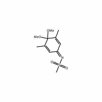 COC1(OC)C(C)=CC(=NS(C)(=O)=O)C=C1C